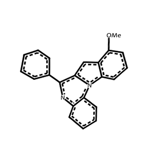 COc1cccc2c1cc1c(-c3ccccc3)nc3ccccc3n12